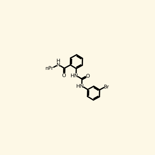 CCCNC(=O)c1ccccc1NC(=O)Nc1cccc(Br)c1